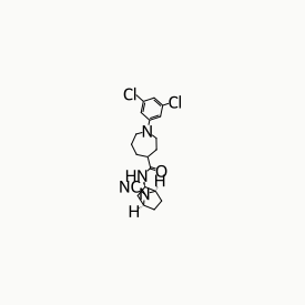 N#CN1[C@H]2CC[C@@H]1[C@H](NC(=O)C1CCCN(c3cc(Cl)cc(Cl)c3)CC1)C2